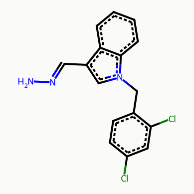 NN=Cc1cn(Cc2ccc(Cl)cc2Cl)c2ccccc12